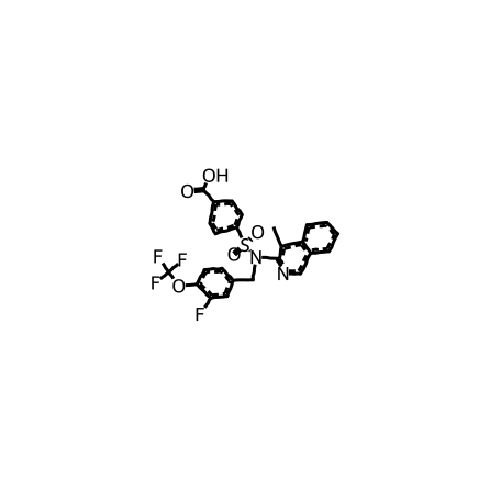 Cc1c(N(Cc2ccc(OC(F)(F)F)c(F)c2)S(=O)(=O)c2ccc(C(=O)O)cc2)ncc2ccccc12